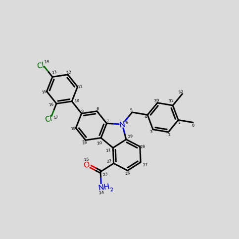 Cc1ccc(Cn2c3cc(-c4ccc(Cl)cc4Cl)c[c]c3c3c(C(N)=O)cccc32)cc1C